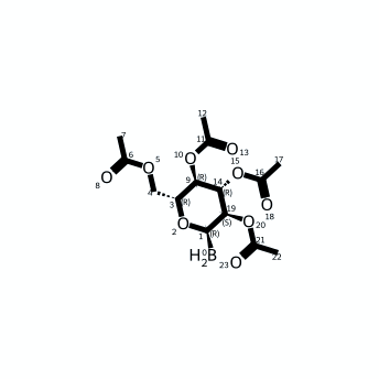 B[C@H]1O[C@H](COC(C)=O)[C@@H](OC(C)=O)[C@H](OC(C)=O)[C@H]1OC(C)=O